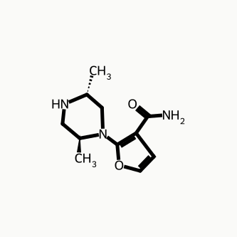 C[C@@H]1CN(c2occc2C(N)=O)[C@@H](C)CN1